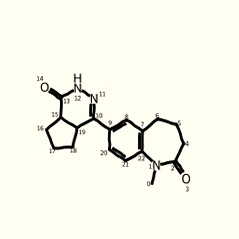 CN1C(=O)CCCc2cc(C3=NNC(=O)C4CCCC34)ccc21